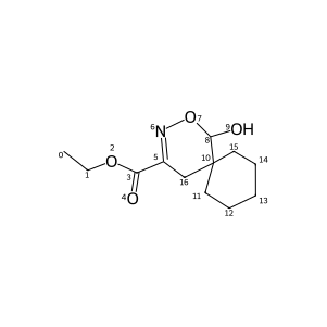 CCOC(=O)C1=NOC(O)C2(CCCCC2)C1